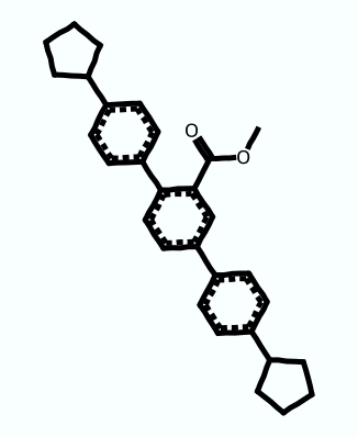 COC(=O)c1cc(-c2ccc(C3CCCC3)cc2)ccc1-c1ccc(C2CCCC2)cc1